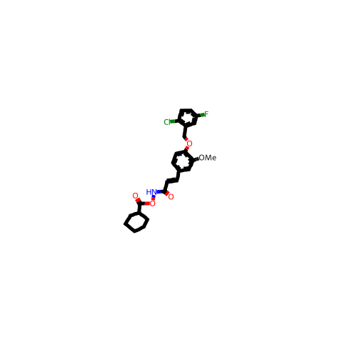 COc1cc(C=CC(=O)NOC(=O)C2CCCCC2)ccc1OCc1cc(F)ccc1Cl